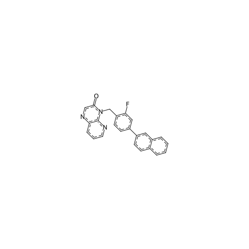 O=c1cnc2cccnc2n1Cc1ccc(-c2ccc3ccccc3c2)cc1F